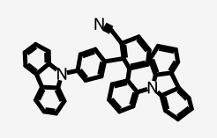 N#Cc1cccc(-c2ccccc2-n2c3ccccc3c3ccccc32)c1-c1ccc(-n2c3ccccc3c3ccccc32)cc1